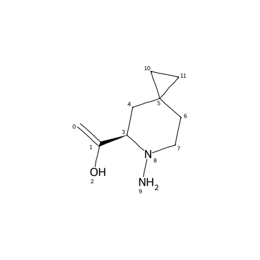 C=C(O)[C@H]1CC2(CCN1N)CC2